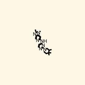 Cc1nc2cnc(Nc3ccnc(N4CCC(C)(C)C(C)C4)n3)cc2n1C